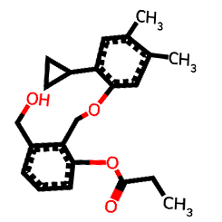 CCC(=O)Oc1cccc(CO)c1COc1cc(C)c(C)cc1C1CC1